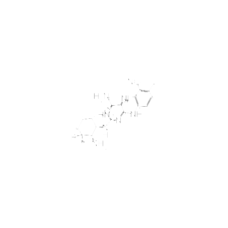 Cc1ccc(N/C(=N/C(=N)N[C@@H]2CCCC(F)(F)[C@@H]2N)C(=N)C(N)=O)cc1C#N